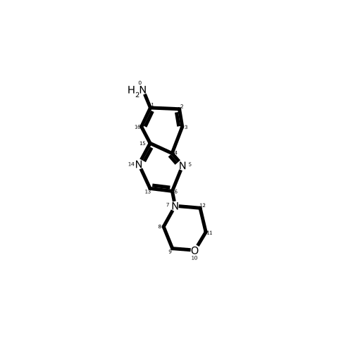 Nc1ccc2nc(N3CCOCC3)cnc2c1